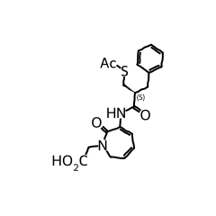 CC(=O)SC[C@@H](Cc1ccccc1)C(=O)NC1=CC=CCN(CC(=O)O)C1=O